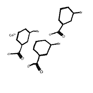 O=C([O-])C1CCCC(Br)C1.O=C([O-])C1CCCC(Br)C1.O=C([O-])C1CCCC(Br)C1.[Ga+3]